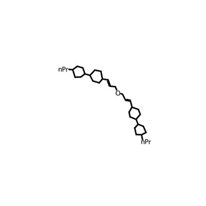 CCCC1CCC(C2CCC(C=CCOCC=CC3CCC(C4CCC(CCC)CC4)CC3)CC2)CC1